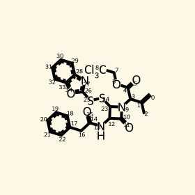 C=C(C)C(C(=O)OCC(Cl)(Cl)Cl)N1C(=O)C(NC(=O)Cc2ccccc2)C1SSc1nc2ccccc2o1